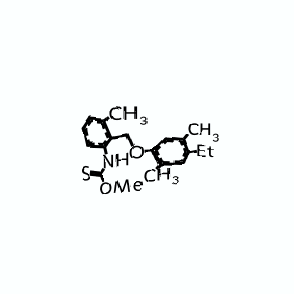 CCc1cc(C)c(OCc2c(C)cccc2NC(=S)OC)cc1C